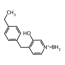 B[n+]1ccc(Cc2ccc(CC)cc2)c(O)c1